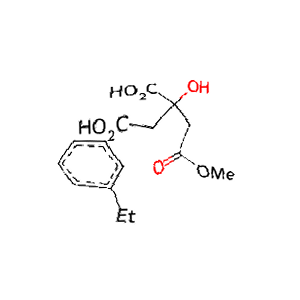 CCc1ccccc1.COC(=O)CC(O)(CC(=O)O)C(=O)O